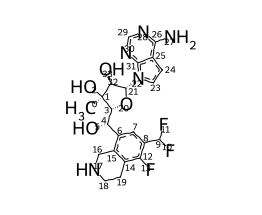 C[C@@]1(O)[C@@H]([C@@H](O)c2cc(C(F)F)c(F)c3c2CNCC3)O[C@@H](n2ccc3c(N)ncnc32)[C@@H]1O